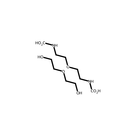 O=C(O)NCCOCCNC(=O)O.OCCOCCO